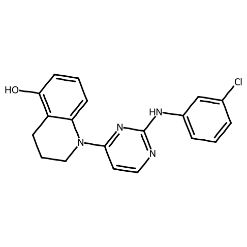 Oc1cccc2c1CCCN2c1ccnc(Nc2cccc(Cl)c2)n1